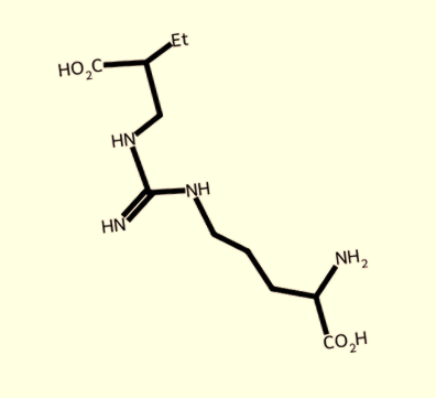 CCC(CNC(=N)NCCCC(N)C(=O)O)C(=O)O